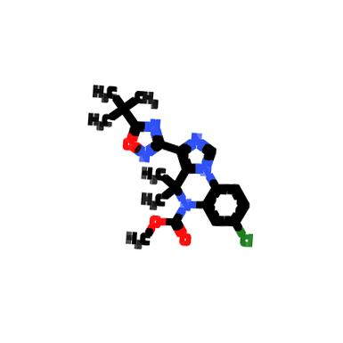 COC(=O)N1c2cc(Cl)ccc2-n2cnc(-c3noc(C(C)(C)C)n3)c2C1(C)C